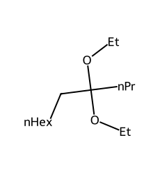 CCCCCCCC(CCC)(OCC)OCC